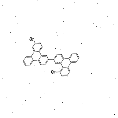 Brc1ccc2c(c1)c1ccccc1c1ccc(-c3ccc4c5ccccc5c5cccc(Br)c5c4c3)cc12